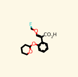 O=C(O)C(=COCF)c1ccccc1OC1CCCCO1